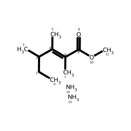 CCC(C)C(C)=C(C)C(=O)OC.N.N